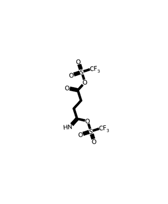 N=C(CCC(=O)OS(=O)(=O)C(F)(F)F)OS(=O)(=O)C(F)(F)F